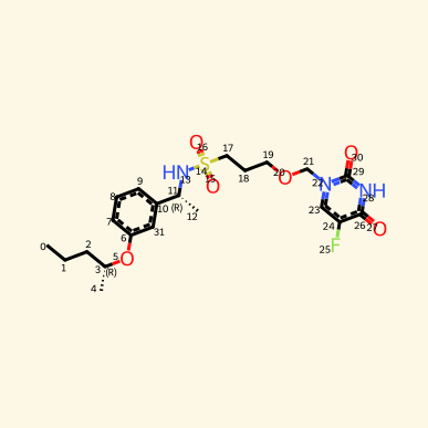 CCC[C@@H](C)Oc1cccc([C@@H](C)NS(=O)(=O)CCCOCn2cc(F)c(=O)[nH]c2=O)c1